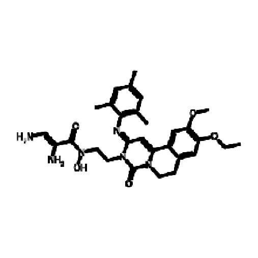 CCOc1cc2c(cc1OC)-c1c/c(=N\c3c(C)cc(C)cc3C)n(CCN(O)C(=O)/C(N)=C/N)c(=O)n1CC2